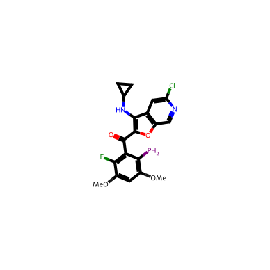 COc1cc(OC)c(P)c(C(=O)c2oc3cnc(Cl)cc3c2NC2CC2)c1F